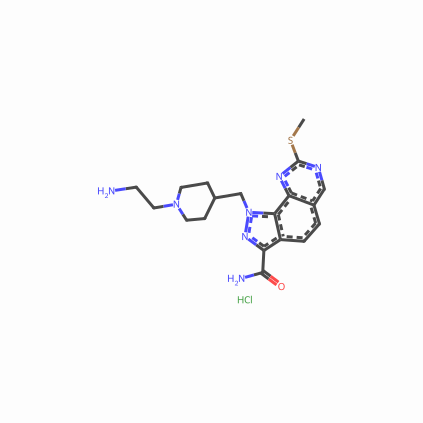 CSc1ncc2ccc3c(C(N)=O)nn(CC4CCN(CCN)CC4)c3c2n1.Cl